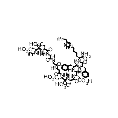 CC(C)Cc1cn(CCCC[C@H](NC(=O)[C@H](Cc2ccccc2)NC(=O)[C@H](Cc2ccccc2)NC(=O)[C@H](CC(=O)O)NC(=O)[C@H](CC(=O)O)NC(=O)[C@H](CC(=O)O)NC(=O)CNC(=O)CNC(=O)CNC(=O)[C@H](CC(=O)O)NC(=O)[C@H](CC(=O)O)NC(C)C)C(N)=O)nn1